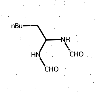 CCCCCC(NC=O)NC=O